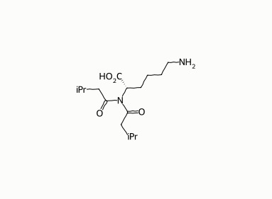 CC(C)CC(=O)N(C(=O)CC(C)C)[C@@H](CCCCN)C(=O)O